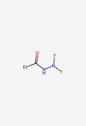 CCC(=O)NN(F)F